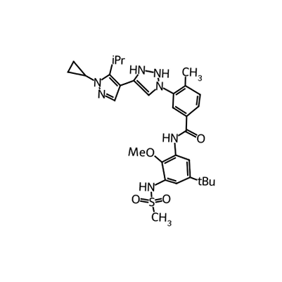 COc1c(NC(=O)c2ccc(C)c(N3C=C(c4cnn(C5CC5)c4C(C)C)NN3)c2)cc(C(C)(C)C)cc1NS(C)(=O)=O